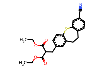 CCOC(=O)C(Cc1ccc2c(c1)CCc1ccc(C#N)cc1S2)C(=O)OCC